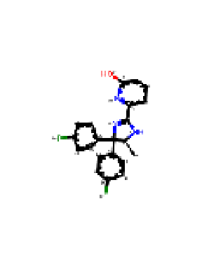 C[C@@H]1NC(c2cccc(O)n2)=NC1(c1ccc(F)cc1)c1ccc(F)cc1